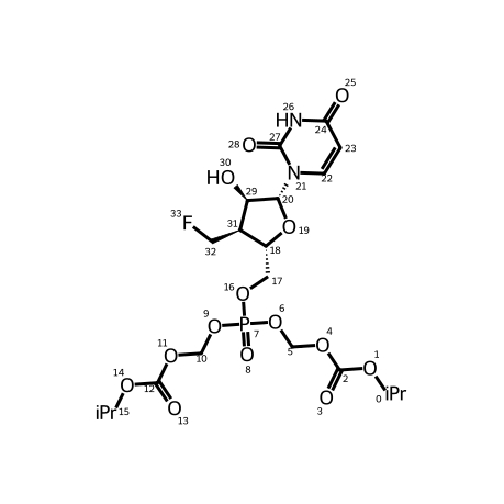 CC(C)OC(=O)OCOP(=O)(OCOC(=O)OC(C)C)OC[C@H]1O[C@@H](n2ccc(=O)[nH]c2=O)[C@H](O)[C@@H]1CF